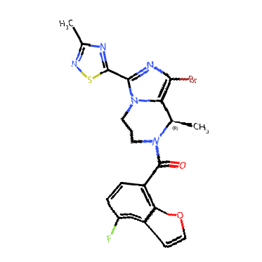 Cc1nsc(-c2nc(Br)c3n2CCN(C(=O)c2ccc(F)c4ccoc24)[C@@H]3C)n1